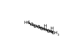 C#CCOCCOCCOCCOCCNCCOCCNC